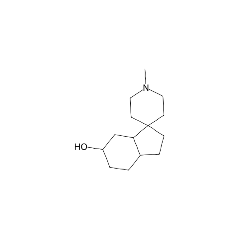 CN1CCC2(CCC3CCC(O)CC32)CC1